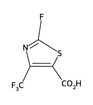 O=C(O)c1sc(F)nc1C(F)(F)F